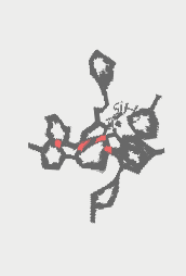 Cc1ccc(-c2ccc(-c3ccc(C)cc3)c3c2C=C(CCc2ccccc2)[CH]3[Zr]([CH3])([CH3])(=[SiH2])[CH]2C(CCc3ccccc3)=Cc3c(-c4ccc(C)cc4)ccc(-c4ccc(C)cc4)c32)cc1